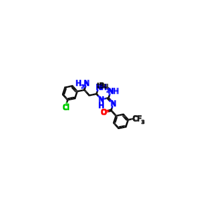 CC(C)(C)N/C(=N/C(=O)c1cccc(C(F)(F)F)c1)NC(N)CC(N)c1cccc(Cl)c1